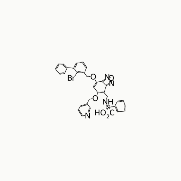 O=C(O)[C@@H](NCc1c(OCc2cccnc2)cc(OCc2cccc(-c3ccccc3)c2Br)c2nonc12)c1ccccc1